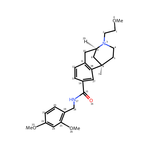 COCCN1CC[C@]2(C)C[C@H]1Cc1ccc(C(=O)NCc3ccc(OC)cc3OC)cc12